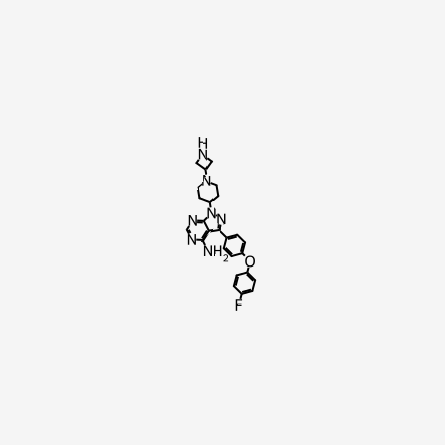 Nc1ncnc2c1c(-c1ccc(Oc3ccc(F)cc3)cc1)nn2C1CCN(C2CNC2)CC1